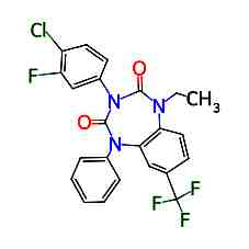 CCN1C(=O)N(c2ccc(Cl)c(F)c2)C(=O)N(c2ccccc2)c2cc(C(F)(F)F)ccc21